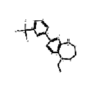 CCN1CCCNc2nc(-c3cccc(C(F)(F)F)c3)ccc21